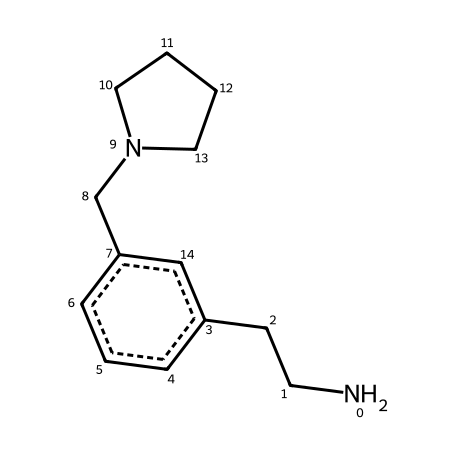 NCCc1cccc(CN2CCCC2)c1